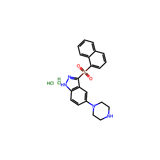 Cl.Cl.O=S(=O)(c1cccc2ccccc12)c1n[nH]c2ccc(N3CCNCC3)cc12